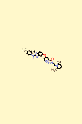 CC1CCCC(C)N1CCNC(=O)c1cc(Oc2ccc3c(c2)nc(Nc2ccc(C(F)(F)F)cc2)n3C)ccn1